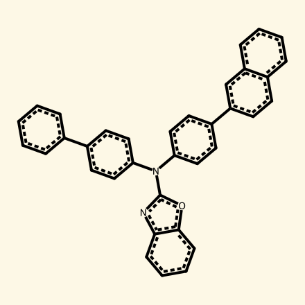 c1ccc(-c2ccc(N(c3ccc(-c4ccc5ccccc5c4)cc3)c3nc4ccccc4o3)cc2)cc1